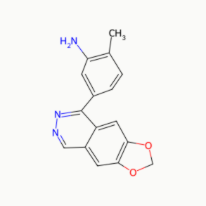 Cc1ccc(-c2nncc3cc4c(cc23)OCO4)cc1N